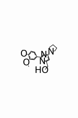 COc1ccc(-c2nc(CO)cc(N3CCCC3)n2)cc1OC